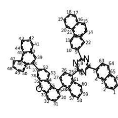 c1ccc2cc(-c3nc(-c4ccc5c(ccc6ccccc65)c4)nc(-c4ccc(-c5cccc6oc7cc(-c8cc9ccccc9c9ccccc89)ccc7c56)c5ccccc45)n3)ccc2c1